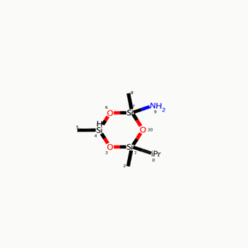 CC(C)[Si]1(C)O[SiH](C)O[Si](C)(N)O1